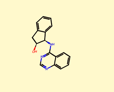 O[C@H]1Cc2ccccc2[C@H]1Nc1ncnc2ccccc12